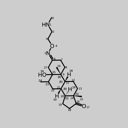 CNCCON=C1CC[C@]2(C)[C@@H]3CC[C@]4(C)C(=O)CC[C@H]4[C@@H]3CC(C)C2(O)C1